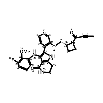 CC#CC(=O)N1CC[C@@H]1COc1cnccc1-c1[nH]c2c(c1Nc1cccc(F)c1OC)C(=O)NCC2